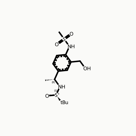 C[C@@H](N[S@+]([O-])C(C)(C)C)c1ccc(NS(C)(=O)=O)c(CO)c1